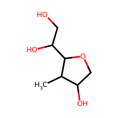 CC1C(O)COC1C(O)CO